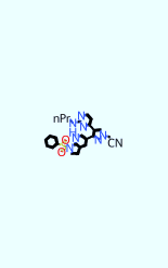 CCCNc1nccc(-c2cn(CC#N)nc2-c2cnc3c(ccn3S(=O)(=O)c3ccccc3)c2)n1